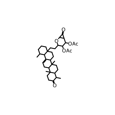 CC(=O)OC1C(CCC23CCCC(C)C2C2=CCC4C(C)(CCC5C(C)C(=O)CCC54C)C2CC3)OC2C(=O)C2C1OC(C)=O